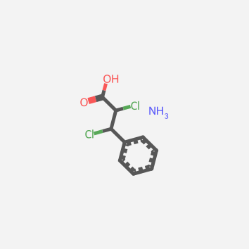 N.O=C(O)C(Cl)C(Cl)c1ccccc1